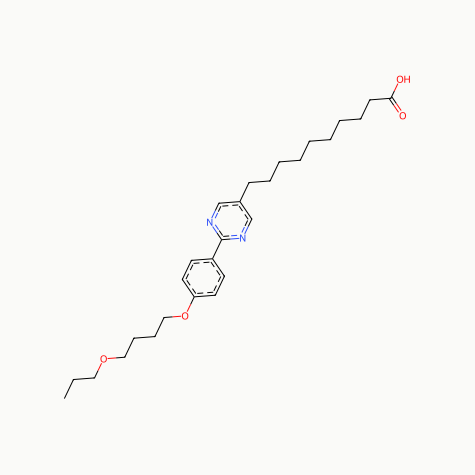 CCCOCCCCOc1ccc(-c2ncc(CCCCCCCCCC(=O)O)cn2)cc1